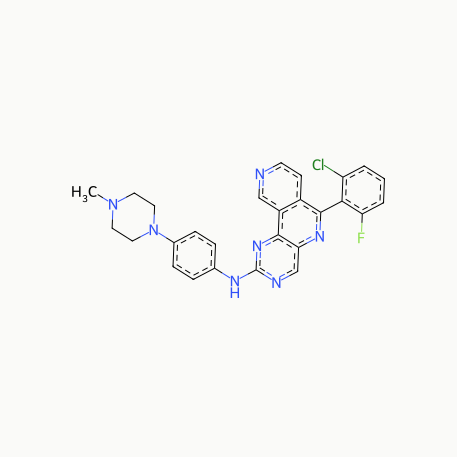 CN1CCN(c2ccc(Nc3ncc4nc(-c5c(F)cccc5Cl)c5ccncc5c4n3)cc2)CC1